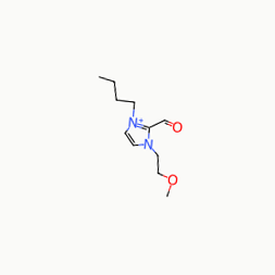 CCCC[n+]1ccn(CCOC)c1C=O